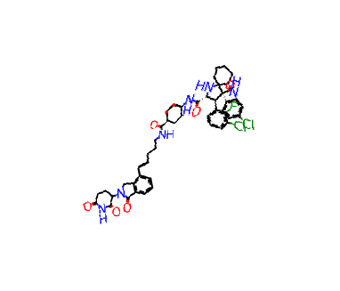 O=C1CCC(N2Cc3c(/C=C/CCCNC(=O)C45CCC(NC(=O)[C@@H]6NC7(CCCCC7)[C@@]7(C(=O)Nc8cc(Cl)ccc87)[C@H]6c6cccc(Cl)c6F)(CC4)CC5)cccc3C2=O)C(=O)N1